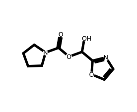 O=C(OC(O)c1ncco1)N1CCCC1